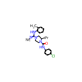 Cc1ccccc1N/C(=N/C#N)N1CCN(C(=O)Nc2ccc(Cl)cc2)C(C(C)C)C1